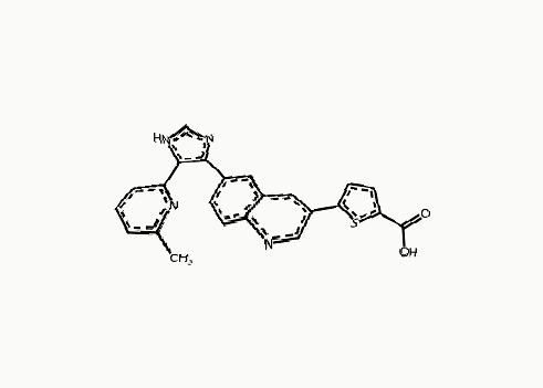 Cc1cccc(-c2[nH]cnc2-c2ccc3ncc(-c4ccc(C(=O)O)s4)cc3c2)n1